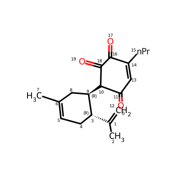 C=C(C)[C@@H]1CC=C(C)C[C@H]1C1C(=O)C=C(CCC)C(=O)C1=O